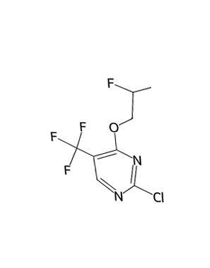 CC(F)COc1nc(Cl)ncc1C(F)(F)F